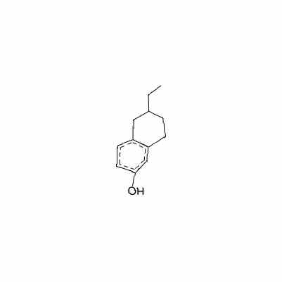 CCC1CCc2cc(O)ccc2C1